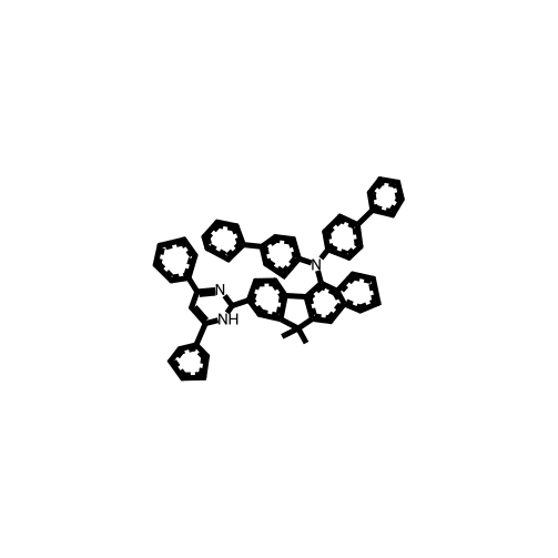 CC1(C)c2cc(C3N=C(c4ccccc4)C=C(c4ccccc4)N3)ccc2-c2c1cc1ccccc1c2N(c1ccc(-c2ccccc2)cc1)c1ccc(-c2ccccc2)cc1